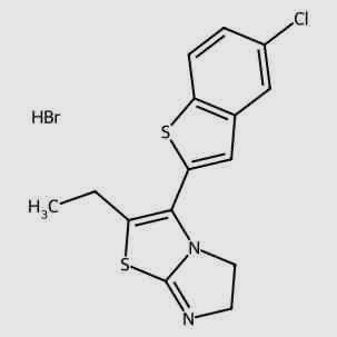 Br.CCC1=C(c2cc3cc(Cl)ccc3s2)N2CCN=C2S1